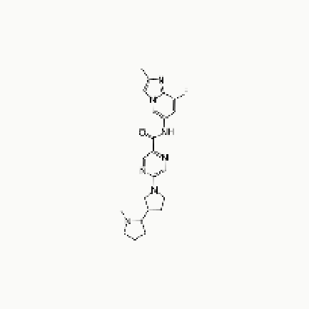 Cc1cn2cc(NC(=O)c3cnc(N4CCC(C5CCCN5C)C4)cn3)cc(F)c2n1